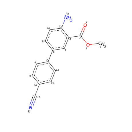 COC(=O)c1cc(-c2ccc(C#N)cc2)ccc1N